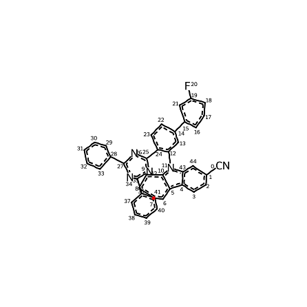 N#Cc1ccc2c3ccccc3n(-c3cc(-c4cccc(F)c4)ccc3-c3nc(-c4ccccc4)nc(-c4ccccc4)n3)c2c1